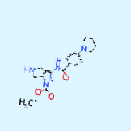 CCOC(=O)n1nc(NC(=O)c2ccc(N3CCCCC3)cc2)c2c1CNC2